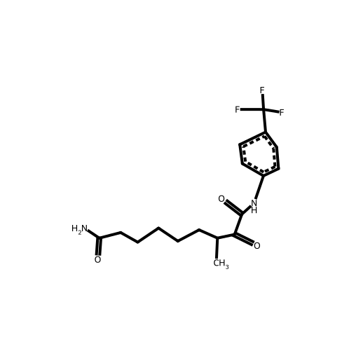 CC(CCCCCC(N)=O)C(=O)C(=O)Nc1ccc(C(F)(F)F)cc1